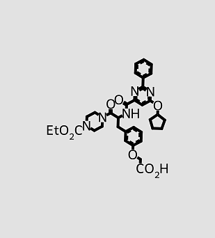 CCOC(=O)N1CCN(C(=O)C(Cc2cccc(OCC(=O)O)c2)NC(=O)c2cc(OC3CCCC3)nc(-c3ccccc3)n2)CC1